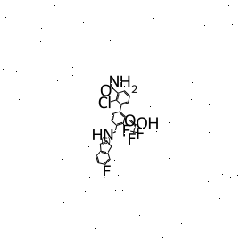 NC(=O)c1cccc(-c2ccc(CN[C@H]3Cc4ccc(F)cc4C3)cc2)c1Cl.O=C(O)C(F)(F)F